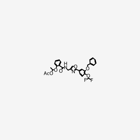 CC(=O)OC(C)Oc1ccccc1C(=O)NCc1coc(-c2ccc(OC(F)F)c(OCc3ccccc3)c2)n1